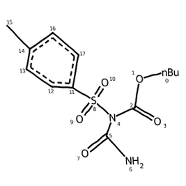 CCCCOC(=O)N(C(N)=O)S(=O)(=O)c1ccc(C)cc1